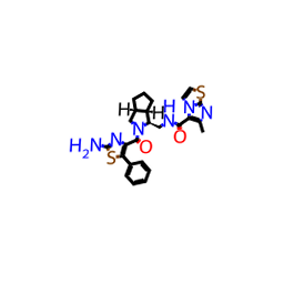 Cc1nc2sccn2c1C(=O)NC[C@@H]1[C@H]2CCC[C@H]2CN1C(=O)c1nc(N)sc1-c1ccccc1